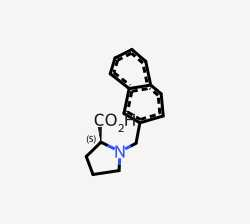 O=C(O)[C@@H]1CCCN1Cc1ccc2ccccc2c1